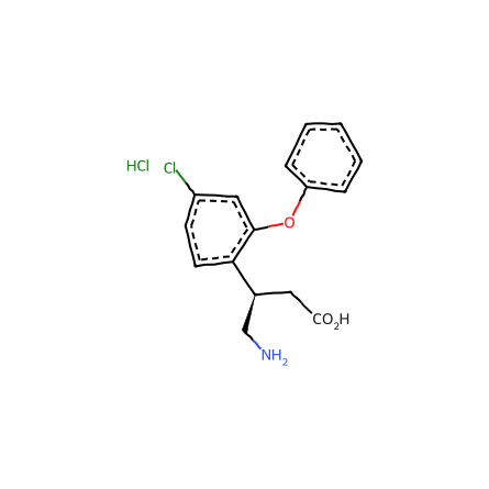 Cl.NC[C@H](CC(=O)O)c1ccc(Cl)cc1Oc1ccccc1